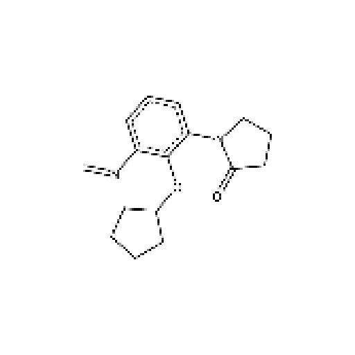 C=Nc1cccc(N2CCCC2=O)c1OC1CCCC1